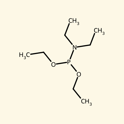 CCOP(OCC)N(CC)CC